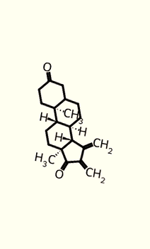 C=C1C(=C)[C@H]2[C@@H]3CCC4CC(=O)CC[C@]4(C)[C@H]3CC[C@]2(C)C1=O